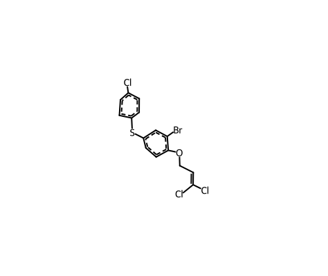 ClC(Cl)=CCOc1ccc(Sc2ccc(Cl)cc2)cc1Br